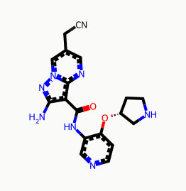 N#CCc1cnc2c(C(=O)Nc3cnccc3O[C@@H]3CCNC3)c(N)nn2c1